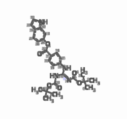 CC(C)(C)OC(=O)/N=C(/NC(=O)OC(C)(C)C)Nc1ccc(C(=O)Oc2ccc3cc[nH]c3c2)cc1